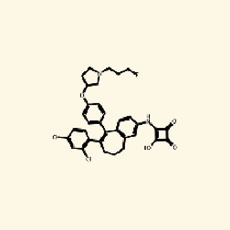 O=c1c(O)c(Nc2ccc3c(c2)CCCC(c2ccc(Cl)cc2Cl)=C3c2ccc(OC3CCN(CCCF)C3)cc2)c1=O